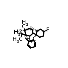 CCC[C@H]1C[C@@H](F)CCC1(C)C1CCC(C)(C)[C@@](Cc2ccccc2)(C(C)O)C1